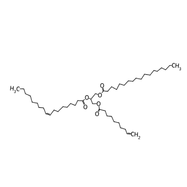 C=CCCCCCCCC(=O)OCC(COC(=O)CCCCCCCCCCCCCCCCC)OC(=O)CCCCCCC/C=C\CCCCCCCC